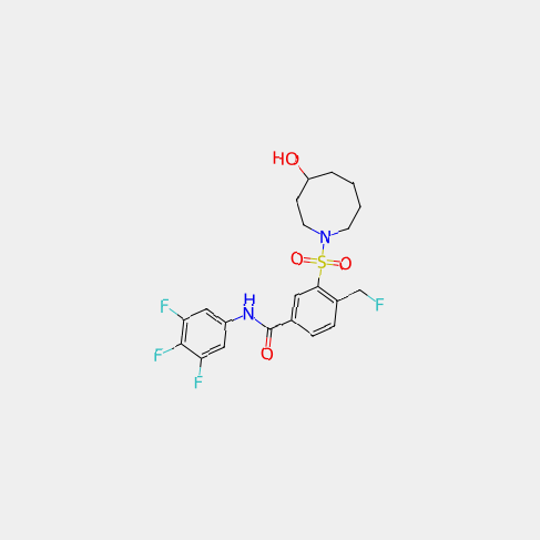 O=C(Nc1cc(F)c(F)c(F)c1)c1ccc(CF)c(S(=O)(=O)N2CCCCC(O)CC2)c1